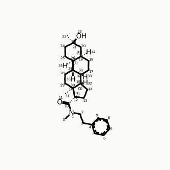 CN(CCc1ccccc1)C(=O)[C@H]1CC[C@H]2[C@@H]3CC[C@@H]4C[C@](C)(O)CC[C@@H]4[C@H]3CC[C@]12C